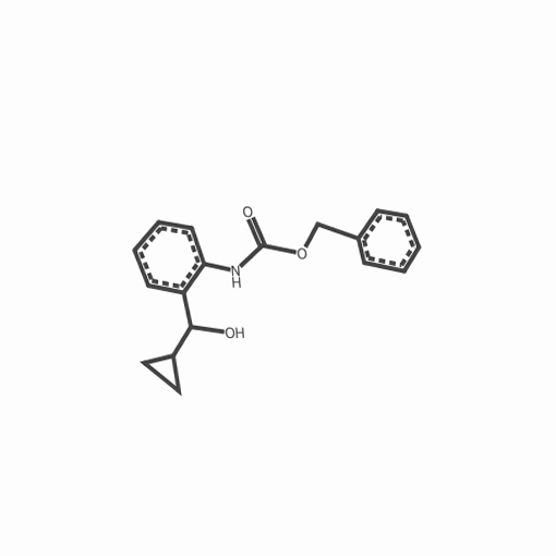 O=C(Nc1ccccc1C(O)C1CC1)OCc1ccccc1